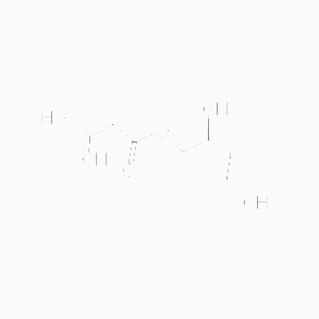 CCCC(C)COC(=O)CC(C)C